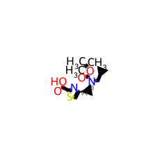 CC(C)(C)OC(=O)N(CC1CC1)[C@@H]1C[C@H]1c1csc(C(=O)O)n1